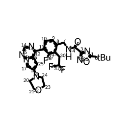 CC(C)(C)c1nc(C(=O)NCc2ccc(-c3ncnn4cc(N5CCOCC5)cc34)c(F)c2CC(F)F)no1